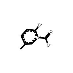 Cc1ccc(Br)[n+](C(=O)[O-])c1